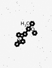 Cc1ccccc1-c1ccc(-c2ccc3c(c2)-c2ccccc2C3c2cccc3c2oc2ccccc23)cc1Oc1ccccc1